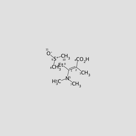 CC/C(=C(/C)C(=O)O)N(C)C.C[S+](C)[O-]